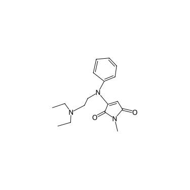 CCN(CC)CCN(C1=CC(=O)N(C)C1=O)c1ccccc1